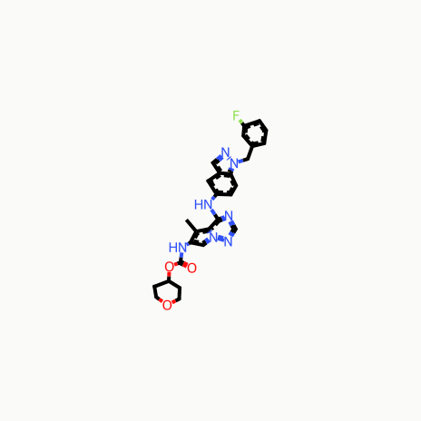 Cc1c(NC(=O)OC2CCOCC2)cn2ncnc(Nc3ccc4c(cnn4Cc4cccc(F)c4)c3)c12